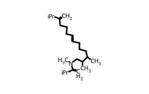 C=C(CCC/C=C/CCCC(C)C(C)CN(C)C(=C)C(C)C)C(C)C